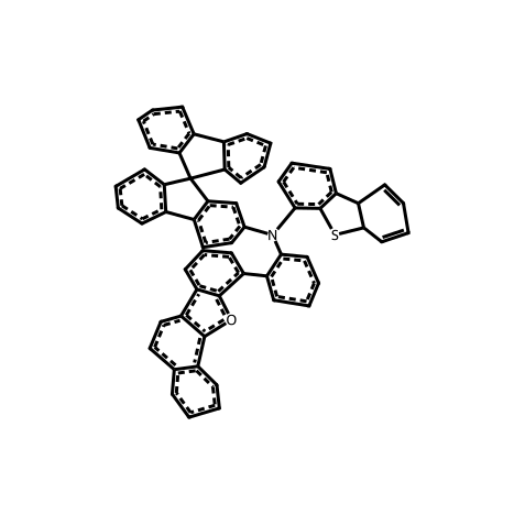 C1=CC2Sc3c(cccc3N(c3ccc4c(c3)C3(c5ccccc5-c5ccccc53)c3ccccc3-4)c3ccccc3-c3cccc4c3oc3c5ccccc5ccc43)C2C=C1